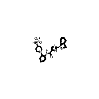 CS(=O)(=O)NC1CCN(c2ccccc2NC(=O)c2csc(-n3ncc4ccccc43)n2)CC1